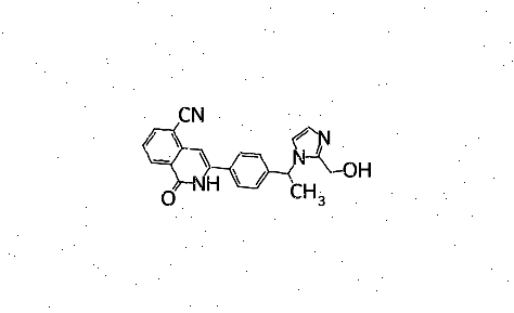 CC(c1ccc(-c2cc3c(C#N)cccc3c(=O)[nH]2)cc1)n1ccnc1CO